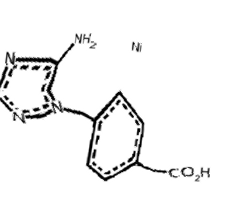 Nc1nnnn1-c1ccc(C(=O)O)cc1.[Ni]